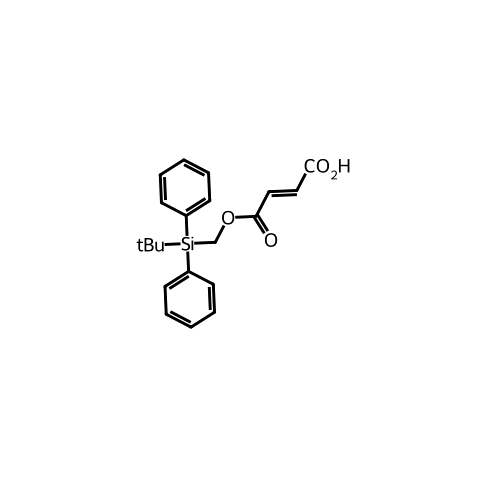 CC(C)(C)[Si](COC(=O)C=CC(=O)O)(c1ccccc1)c1ccccc1